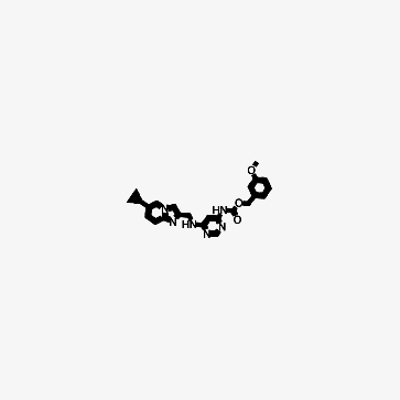 COc1cccc(COC(=O)Nc2cc(NCc3cn4cc(C5CC5)ccc4n3)ncn2)c1